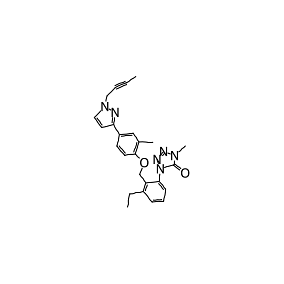 CC#CCn1ccc(-c2ccc(OCc3c(CC)cccc3-n3nnn(C)c3=O)c(C)c2)n1